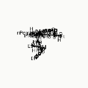 CCCCCC(NC(=O)[C@H](CCCCC)NC(=O)C(CCCCNC(=O)CCC(NC(=O)C1(NC(=O)c2ccc(N3CCN(CC)CC3)cc2)CCCCC1)C(=O)NCCNC(=O)CC)NC(=O)[C@H](CCCCC)NC(=O)C(CCCCNC(=O)CCC(NC(=O)C1(NC(=O)c2ccc(N3CCN(CC)CC3)cc2)CCCCC1)C(=O)NCCNC(=O)CC)NC(C)C)C(=O)C(C)C